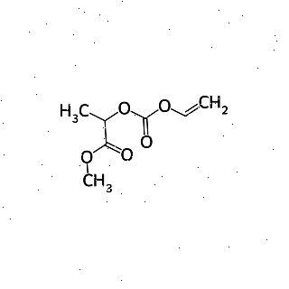 C=COC(=O)OC(C)C(=O)OC